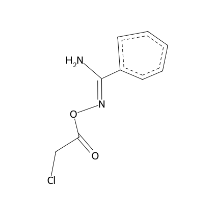 N/C(=N\OC(=O)CCl)c1ccccc1